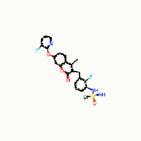 CCS(=N)(=O)Nc1cccc(Cc2c(C)c3ccc(Oc4ncccc4F)cc3oc2=O)c1F